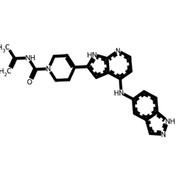 C=C(C)NC(=O)N1CC=C(c2cc3c(Nc4ccc5[nH]ncc5c4)ccnc3[nH]2)CC1